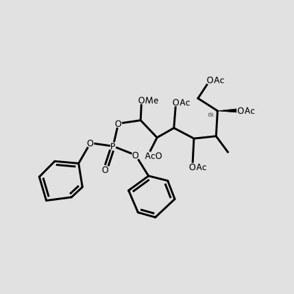 COC(OP(=O)(Oc1ccccc1)Oc1ccccc1)C(OC(C)=O)C(OC(C)=O)C(OC(C)=O)C(C)[C@@H](COC(C)=O)OC(C)=O